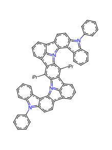 CC(C)c1c2c3cccc4c5ccc6c(c7ccccc7n6-c6ccccc6)c5n(c2c(C(C)C)c2c5cccc6c7ccc8c(c9ccccc9n8-c8ccccc8)c7n(c12)c65)c43